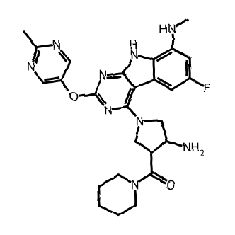 CNc1cc(F)cc2c1[nH]c1nc(Oc3cnc(C)nc3)nc(N3CC(N)C(C(=O)N4CCCCC4)C3)c12